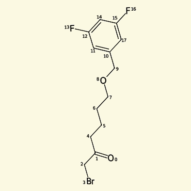 O=C(CBr)CCCCOCc1cc(F)cc(F)c1